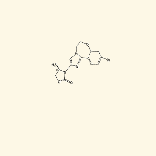 C[C@@H]1COC(=O)N1c1cn2c(n1)C1=CC=C(Br)CC1OCC2